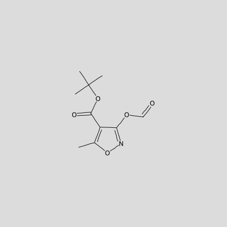 Cc1onc(OC=O)c1C(=O)OC(C)(C)C